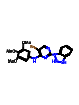 COc1cc(Nc2nc(N3NNc4ccccc43)ncc2Br)cc(OC)c1OC